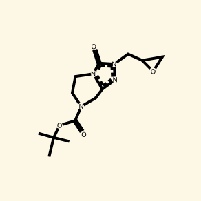 CC(C)(C)OC(=O)N1CCn2c(nn(CC3CO3)c2=O)C1